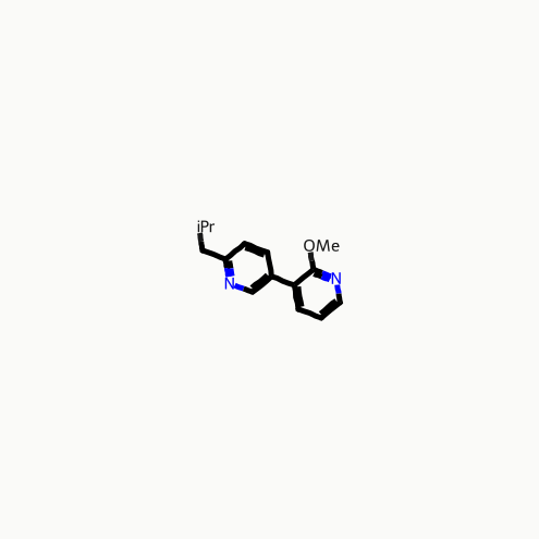 COc1ncccc1-c1ccc(CC(C)C)nc1